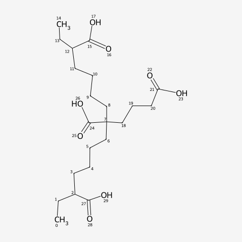 CCC(CCCCC(CCCCC(CC)C(=O)O)(CCCC(=O)O)C(=O)O)C(=O)O